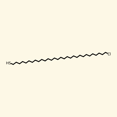 SCCCCCCCCCCCCCCCCCCCCCCCCCCCCCCCl